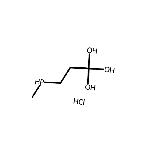 CPCCC(O)(O)O.Cl